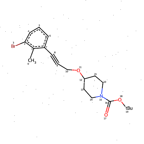 Cc1c(Br)cccc1C#CCOC1CCN(C(=O)OC(C)(C)C)CC1